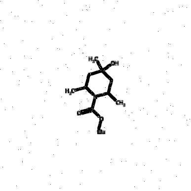 CC1CC(C)(O)CC(C)N1C(=O)OC(C)(C)C